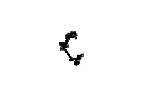 CN(CCCCCCCN/C(=C/[N+](=O)[O-])NCCSCc1csc(N=C(N)N)n1)CCC(c1ccc(Cl)cc1)c1ccccn1